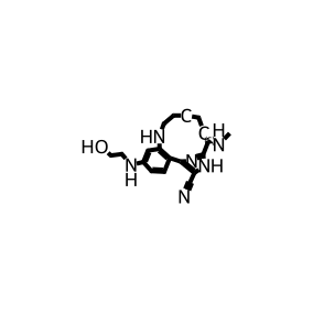 CN[C@H]1CCCCCNc2cc(NCCO)ccc2-c2nc1[nH]c2C#N